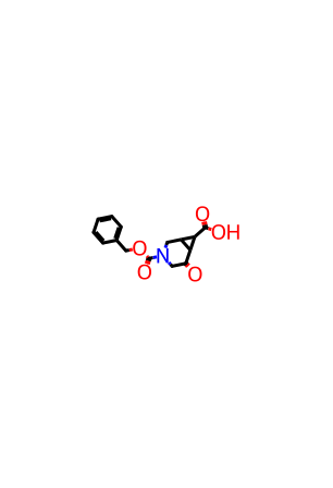 O=C(O)C1C2CN(C(=O)OCc3ccccc3)CC(=O)C21